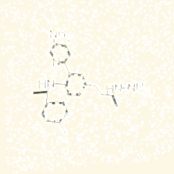 C=C(CCc1ccc(NC(=C)c2ccc(C)cc2)c(-c2ccc(N)cn2)c1)NN